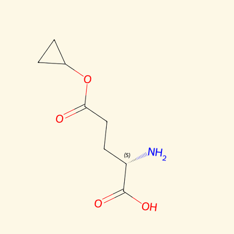 N[C@@H](CCC(=O)OC1CC1)C(=O)O